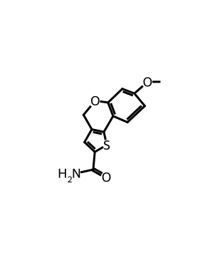 COc1ccc2c(c1)OCc1cc(C(N)=O)sc1-2